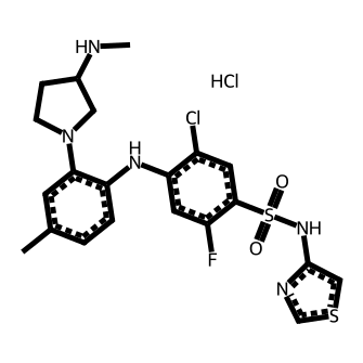 CNC1CCN(c2cc(C)ccc2Nc2cc(F)c(S(=O)(=O)Nc3cscn3)cc2Cl)C1.Cl